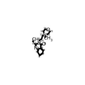 CSc1nc2ccccc2c(=O)n1CCC[N+]1(C)CCOCC1